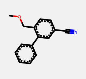 COCc1ccc(C#N)cc1-c1ccccc1